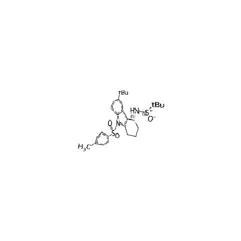 Cc1ccc(S(=O)(=O)n2c3c(c4cc(C(C)(C)C)ccc42)[C@H](N[S@+]([O-])C(C)(C)C)CCC3)cc1